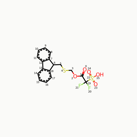 O=C(OCSCC1c2ccccc2-c2ccccc21)C(F)(F)S(=O)(=O)O